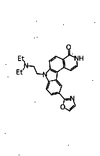 CCN(CC)CCn1c2ccc(-c3ncco3)cc2c2c3cc[nH]c(=O)c3ccc21